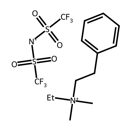 CC[N+](C)(C)CCc1ccccc1.O=S(=O)([N-]S(=O)(=O)C(F)(F)F)C(F)(F)F